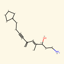 C=C(C#CCCC1CCCC1)/C=C(\C)C(O)CCN